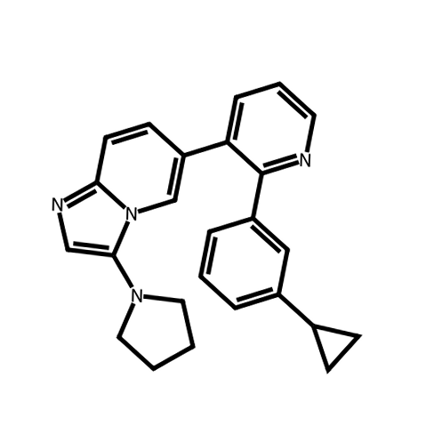 c1cc(-c2ncccc2-c2ccc3ncc(N4CCCC4)n3c2)cc(C2CC2)c1